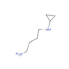 NCCCCNC1CC1